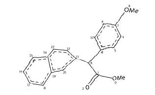 COC(=O)C(c1ccc(OC)cc1)c1ccc2ccccc2c1